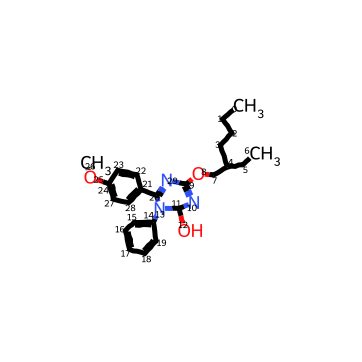 CCCCC(CC)COC1=NC(O)N(c2ccccc2)C(c2ccc(OC)cc2)=N1